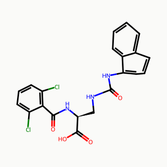 O=C(NC[C@H](NC(=O)c1c(Cl)cccc1Cl)C(=O)O)Nc1cccc2ccccc12